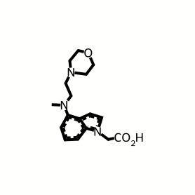 CN(CCN1CCOCC1)c1cccc2c1ccn2CC(=O)O